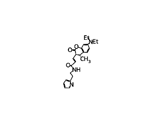 CCN(CC)c1ccc2c(c1)OC(=O)C(C=CC(=O)NCCc1ccccn1)C2C